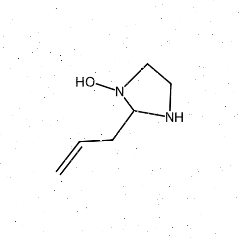 C=CCC1NCCN1O